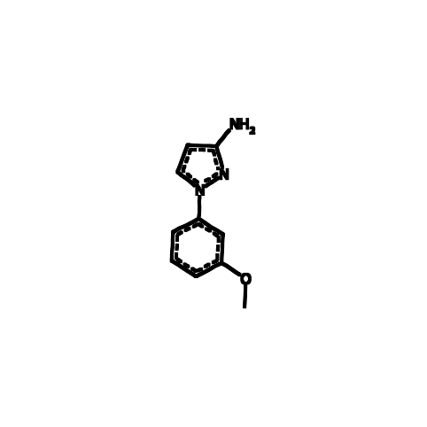 COc1cccc(-n2ccc(N)n2)c1